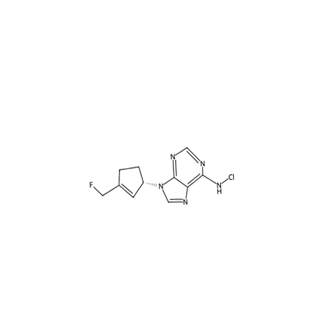 FCC1=C[C@@H](n2cnc3c(NCl)ncnc32)CC1